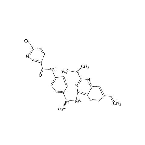 C=Cc1ccc2c(N[C@@H](C)c3ccc(NC(=O)c4ccc(Cl)nc4)cc3)nc(N(C)C)nc2c1